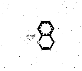 C1=COc2ccccc2C1.[Al].[Mo]